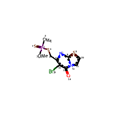 COP(=S)(OC)SCc1nc2sccn2c(=O)c1Br